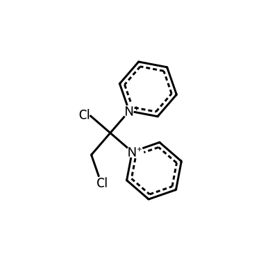 ClCC(Cl)([n+]1ccccc1)[n+]1ccccc1